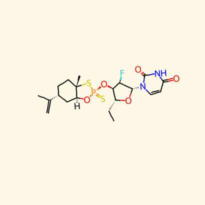 C=C(C)[C@@H]1CC[C@]2(C)S[P@@](=S)(O[C@H]3[C@@H](F)[C@H](n4ccc(=O)[nH]c4=O)O[C@@H]3CC)O[C@H]2C1